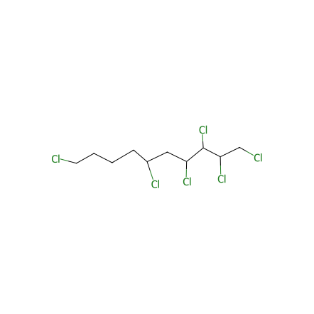 ClCCCCC(Cl)CC(Cl)C(Cl)C(Cl)CCl